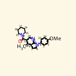 COc1ccc(-n2ccc3c(C)c(C(=O)N4CCCCC4)cnc32)cc1